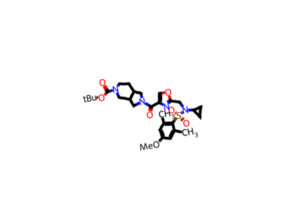 COc1cc(C)c(S(=O)(=O)N(Cc2nc(C(=O)N3CC4CCN(C(=O)OC(C)(C)C)CC4C3)co2)C2CC2)c(C)c1